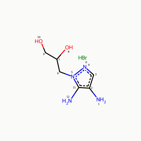 Br.Nc1cnn(CC(O)CO)c1N